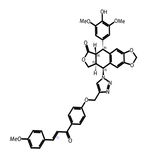 COc1ccc(/C=C/C(=O)c2ccc(OCc3cn([C@@H]4c5cc6c(cc5[C@@H](c5cc(OC)c(O)c(OC)c5)[C@H]5C(=O)OC[C@@H]54)OCO6)nn3)cc2)cc1